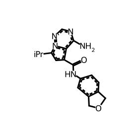 CC(C)c1cc(C(=O)Nc2ccc3c(c2)COC3)c2c(N)ncnn12